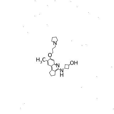 Cc1cc2c3c(c(N[C@H]4C[C@H](O)C4)nc2cc1OCCCN1CCCC1)CCC3